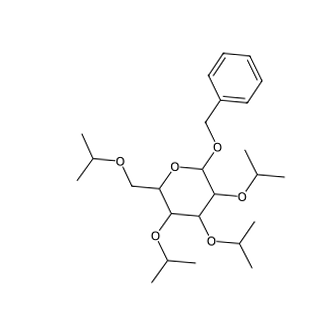 CC(C)OCC1OC(OCc2ccccc2)C(OC(C)C)C(OC(C)C)C1OC(C)C